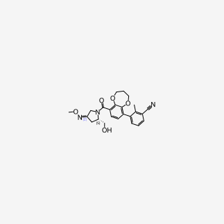 CO/N=C1/C[C@@H](CO)N(C(=O)c2ccc(-c3cccc(C#N)c3C)c3c2OCCCO3)C1